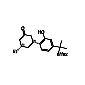 CCCCCCC(C)(C)c1ccc([C@H]2CC(=O)C[C@@H](CC)C2)c(O)c1